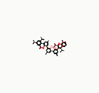 Cc1cc(-c2cc(C)cc(-c3cc(C)cc(-c4c(C(C)C)cc(C(C)C)cc4C(C)C)c3O)c2OCCCOc2ccccc2)c(O)c(-c2c(C(C)C)cc(C(C)C)cc2C(C)C)c1